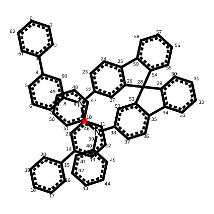 c1ccc(-c2cccc(N(c3cccc(-c4ccccc4)c3)c3ccc4c(c3)C3(c5ccccc5-c5ccc(N(c6ccccc6)c6ccccc6)cc53)c3ccccc3-4)c2)cc1